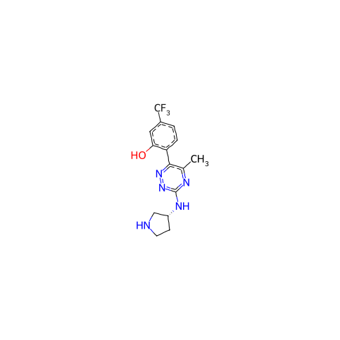 Cc1nc(N[C@@H]2CCNC2)nnc1-c1ccc(C(F)(F)F)cc1O